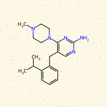 CC(C)c1ccccc1Cc1cnc(N)nc1N1CCN(C)CC1